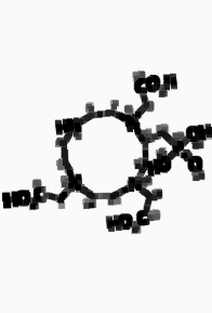 O=C(O)CN1CCNCCN(CC(=O)O)C(CP(=O)(O)O)CN(CC(=O)O)CC1